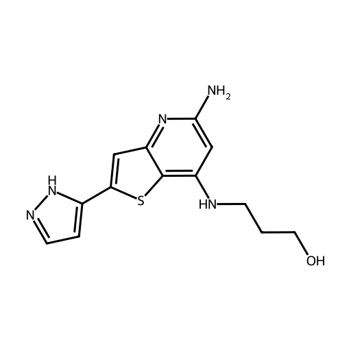 Nc1cc(NCCCO)c2sc(-c3ccn[nH]3)cc2n1